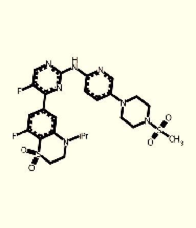 CC(C)N1CCS(=O)(=O)c2c(F)cc(-c3nc(Nc4ccc(N5CCN(S(C)(=O)=O)CC5)cn4)ncc3F)cc21